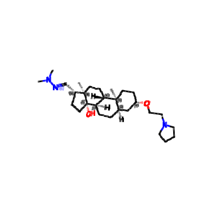 CN(C)/N=C/[C@H]1CC[C@]2(O)[C@@H]3CC[C@@H]4C[C@@H](OCCN5CCCC5)CC[C@]4(C)[C@H]3CC[C@]12C